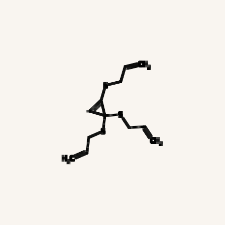 C=CCSC1=[C]C1(SCC=C)SCC=C